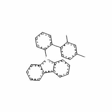 Clc1cc(I)ccc1-c1ccccc1-n1c2ccccc2c2ccccc21